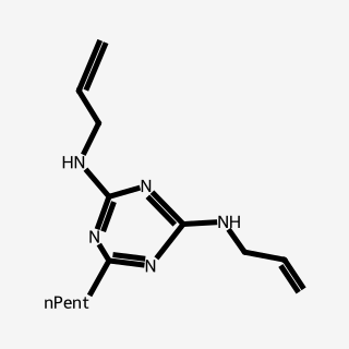 C=CCNc1nc(CCCCC)nc(NCC=C)n1